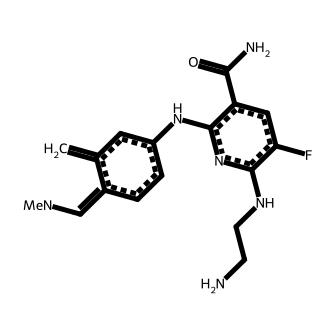 C=c1cc(Nc2nc(NCCN)c(F)cc2C(N)=O)cc/c1=C/NC